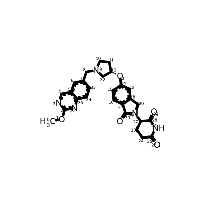 COc1ncc2cc(CN3CC[C@H](Oc4ccc5c(c4)CN(C4CCC(=O)NC4=O)C5=O)C3)ccc2n1